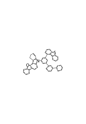 C1=Cc2c(c3c4oc5ccccc5c4ccc3n2-c2cc(-c3cccc(-c4ccccc4)c3)cc(-c3cccc4sc5ccccc5c34)c2)CC1